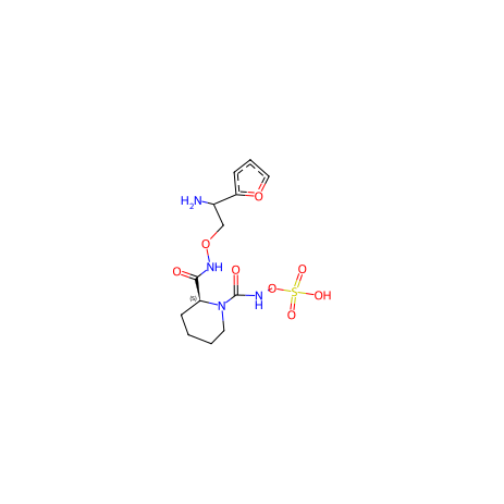 NC(CONC(=O)[C@@H]1CCCCN1C(=O)NOS(=O)(=O)O)c1ccco1